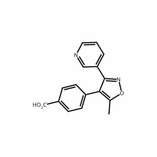 Cc1onc(-c2cccnc2)c1-c1ccc(C(=O)O)cc1